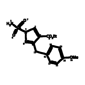 CCOC(=O)c1cn(S(N)(=O)=O)nc1Cc1ccc(OC)cc1